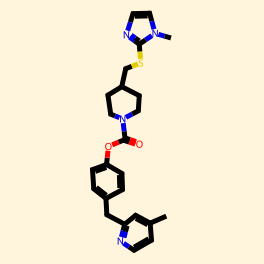 Cc1ccnc(Cc2ccc(OC(=O)N3CCC(CSc4nccn4C)CC3)cc2)c1